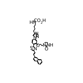 O=C(O)NCCCCc1cn(-c2ccc(-c3nc(C=Cc4ccc5ccccc5c4)cs3)c(OCCN3CCNC3=O)c2)nn1